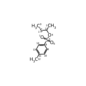 CSC(C)OS(=O)(=O)c1ccc(C)cc1